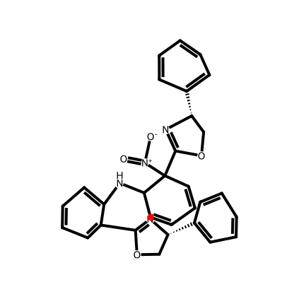 O=[N+]([O-])C1(C2=N[C@H](c3ccccc3)CO2)C=CC=CC1Nc1ccccc1C1=N[C@H](c2ccccc2)CO1